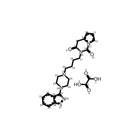 O=C(O)C(=O)O.O=C1Cc2cccn2C(=O)N1CCCCN1CCN(c2nsc3ccccc23)CC1